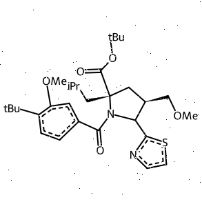 COC[C@@H]1C[C@@](CC(C)C)(C(=O)OC(C)(C)C)N(C(=O)c2ccc(C(C)(C)C)c(OC)c2)C1c1nccs1